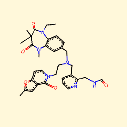 CCN1C(=O)C(C)(C)C(=O)N(C)c2cc(CN(CCn3ccc4oc(C)cc4c3=O)Cc3cccnc3CNC=O)ccc21